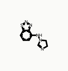 C1=NCCN1Nc1cccc2snnc12